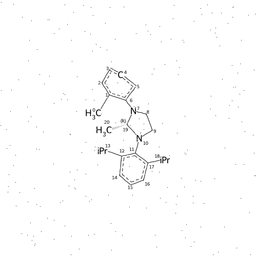 Cc1ccccc1N1CCN(c2c(C(C)C)cccc2C(C)C)[C@@H]1C